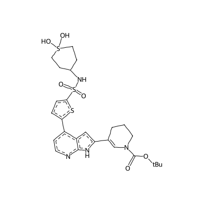 CC(C)(C)OC(=O)N1C=C(c2cc3c(-c4ccc(S(=O)(=O)NC5CCS(O)(O)CC5)s4)ccnc3[nH]2)CCC1